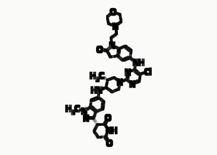 C[C@@H]1CN(c2ncc(Cl)c(Nc3ccc4c(c3)CC(=O)N4CCN3CCOCC3)n2)CC[C@H]1Nc1ccc2c([C@H]3CCC(=O)NC3=O)nn(C)c2c1